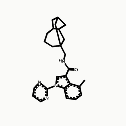 Cc1cccc2c1c(C(=O)NCC13CCCC4CC(CC4C1)C3)cn2-c1ncccn1